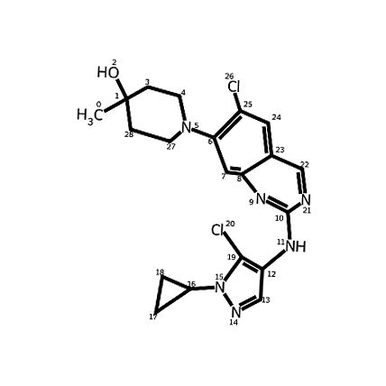 CC1(O)CCN(c2cc3nc(Nc4cnn(C5CC5)c4Cl)ncc3cc2Cl)CC1